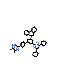 Cc1ncc(-c2ccc(-c3cc(-c4nc(-c5ccccc5)cc(-c5ccccc5)n4)cc(-c4cc5ccccc5c5ccccc45)c3)cc2)nc1C